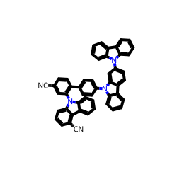 N#Cc1ccc(-c2ccc(-n3c4ccccc4c4ccc(-n5c6ccccc6c6ccccc65)cc43)cc2)c(-n2c3ccccc3c3c(C#N)cccc32)c1